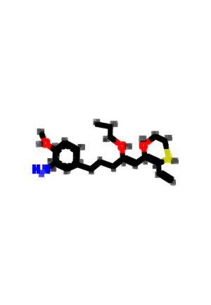 C=CC1=C(/C=C(/CCCc2ccc(OC)c(N)c2)OCCC)OCCS1